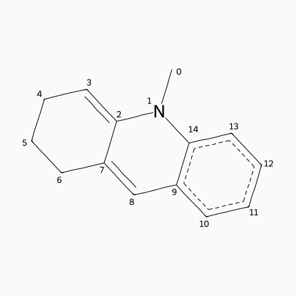 CN1C2=CCCCC2=Cc2ccccc21